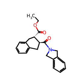 CCOC(=O)[C@H]1Cc2ccccc2C[C@@H]1C(=O)N1Cc2ccccc2C1